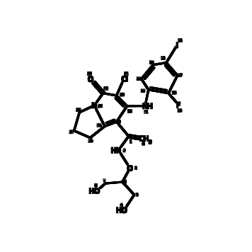 C=C(NOC(CO)CO)c1c(Nc2ccc(I)cc2F)c(Cl)c(=O)n2c1CCC2